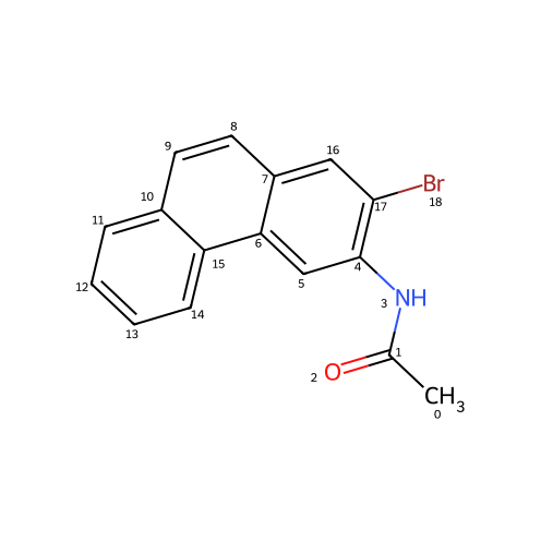 CC(=O)Nc1cc2c(ccc3ccccc32)cc1Br